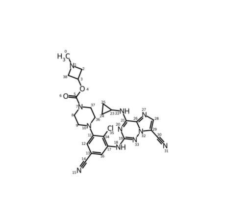 CN1CC(OC(=O)N2CCN(c3cc(C#N)cc(Nc4nc(NC5CC5)c5ncc(C#N)n5n4)c3Cl)CC2)C1